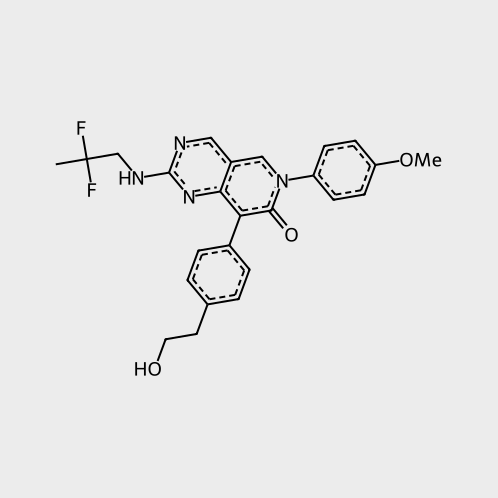 COc1ccc(-n2cc3cnc(NCC(C)(F)F)nc3c(-c3ccc(CCO)cc3)c2=O)cc1